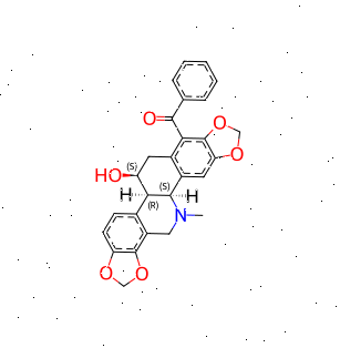 CN1Cc2c(ccc3c2OCO3)[C@@H]2[C@H]1c1cc3c(c(C(=O)c4ccccc4)c1C[C@@H]2O)OCO3